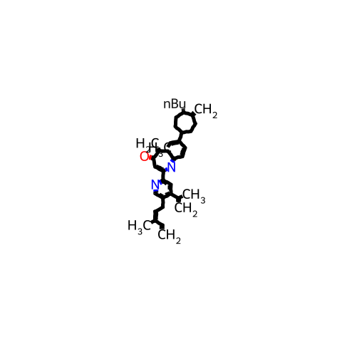 C=C/C(C)=C\Cc1cnc(C2=CC(=O)C(=C)CC(/C=C\C(=C/C)C3CCC(=C)C(CCCC)CC3)=N2)cc1C(=C)C